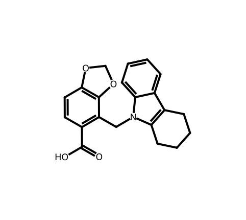 O=C(O)c1ccc2c(c1Cn1c3c(c4ccccc41)CCCC3)OCO2